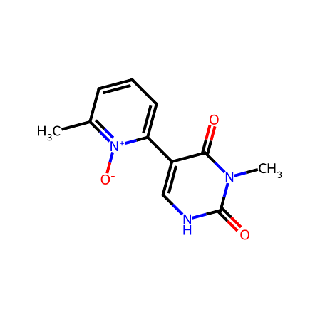 Cc1cccc(-c2c[nH]c(=O)n(C)c2=O)[n+]1[O-]